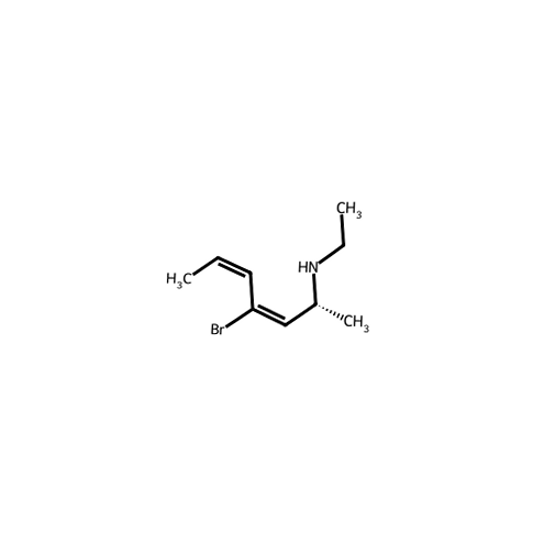 C/C=C\C(Br)=C/[C@@H](C)NCC